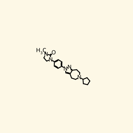 CN1CCN(c2ccc(-n3cc4c(n3)CCN(C3CCCC3)CC4)cc2)C1=O